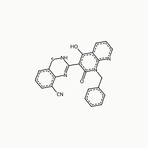 N#Cc1cccc2c1N=C(c1c(O)c3cccnc3n(Cc3ccccc3)c1=O)NS2